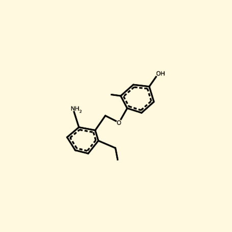 CCc1cccc(N)c1COc1ccc(O)cc1C